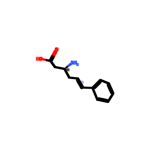 N[C@H](C/C=C/c1ccccc1)CC(=O)O